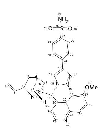 C=CC1CC2CCN1[C@@H]([C@@H](c1ccnc3ccc(OC)cc13)n1cc(-c3ccc(S(N)(=O)=O)cc3)nn1)C2